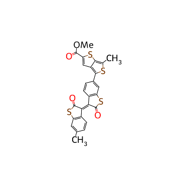 COC(=O)c1cc2c(-c3ccc4c(c3)SC(=O)/C4=C3/C(=O)Sc4cc(C)ccc43)sc(C)c2s1